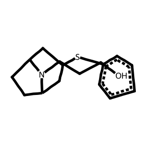 OCCCN1C2CCC1CC(Sc1ccccc1)C2